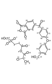 CCCCCCCCS(=O)(=O)CCC(=O)OC(=O)C(C)Cl.O=C(O)c1ccc(Oc2ccc(C(=O)c3ccc4c(c3)C(=O)OC4=O)cc2)cc1